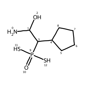 NC(O)C(C1CCCC1)P(=O)(S)S